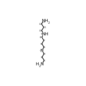 NCCC[N]CCCCNCCCN